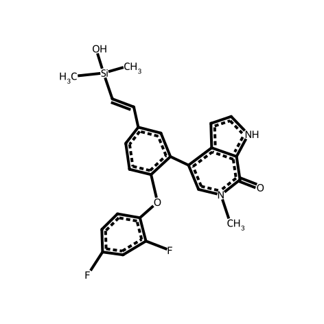 Cn1cc(-c2cc(/C=C/[Si](C)(C)O)ccc2Oc2ccc(F)cc2F)c2cc[nH]c2c1=O